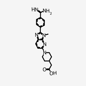 Cn1c(-c2ccc(C(=N)N)cc2)nc2ccc(N3CCC(CC(=O)O)CC3)nc21